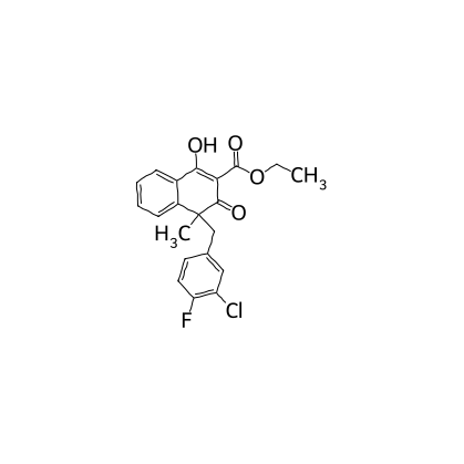 CCOC(=O)C1=C(O)c2ccccc2C(C)(Cc2ccc(F)c(Cl)c2)C1=O